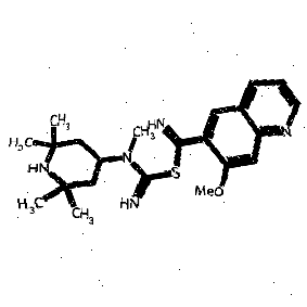 COc1cc2ncccc2cc1C(=N)SC(=N)N(C)C1CC(C)(C)NC(C)(C)C1